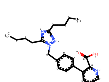 CCCCc1nc(CCCC)n(Cc2ccc(-c3cccnc3C(=O)O)cc2)n1